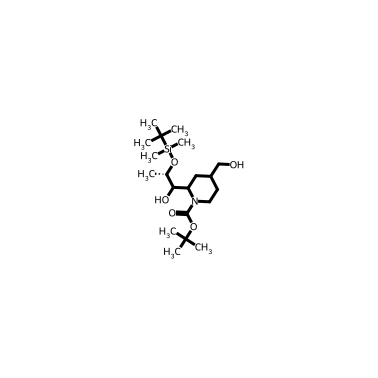 C[C@H](O[Si](C)(C)C(C)(C)C)C(O)C1CC(CO)CCN1C(=O)OC(C)(C)C